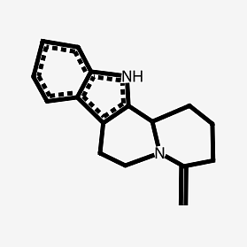 C=C1CCCC2c3[nH]c4ccccc4c3CCN12